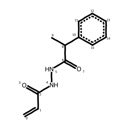 C=CC(=O)NNC(=O)C(C)c1ccccc1